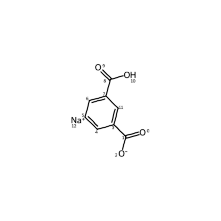 O=C([O-])c1cccc(C(=O)O)c1.[Na+]